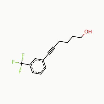 OCCCCC#Cc1cccc(C(F)(F)F)c1